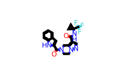 O=C(NC1(C(F)(F)F)CC1)c1cnn2c1CN(C(=O)c1cc3ccccc3[nH]1)CC2